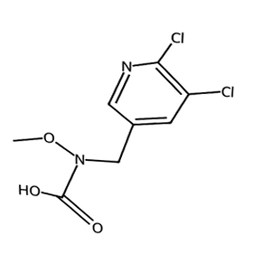 CON(Cc1cnc(Cl)c(Cl)c1)C(=O)O